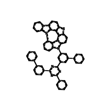 c1ccc(-c2cccc(-c3nc(-c4ccccc4)nc(-c4cc(-c5ccccc5)cc(-n5c6ccc7sc8ccc9c%10ccccc%10n%10c%11cccc5c%11c6c7c8c9%10)c4)n3)c2)cc1